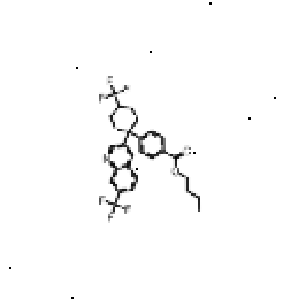 CCCCOC(=O)c1ccc(C2(c3cnc4cc(C(F)(F)F)ccc4c3)CCC(C(F)(F)F)CC2)cc1